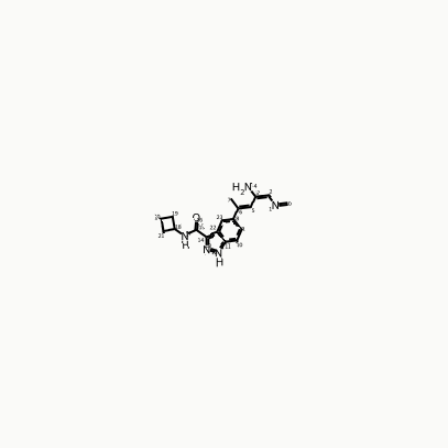 C=N/C=C(N)\C=C(/C)c1ccc2[nH]nc(C(=O)NC3CCC3)c2c1